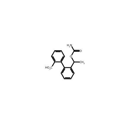 CC(OC(N)=O)c1ccccc1-c1ccccc1C(=O)O